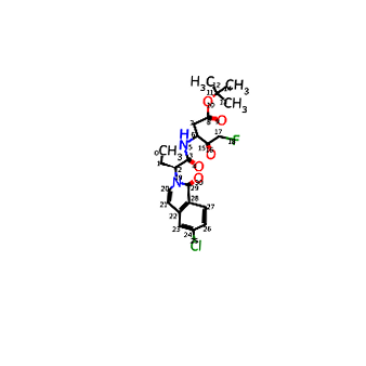 CC[C@@H](C(=O)NC(CC(=O)OC(C)(C)C)C(=O)CF)n1ccc2cc(Cl)ccc2c1=O